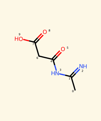 CC(=N)NC(=O)CC(=O)O